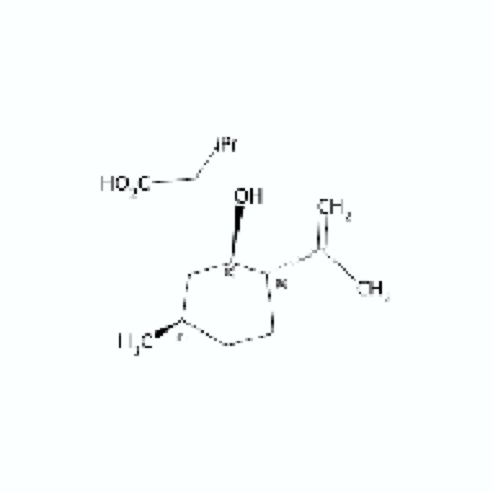 C=C(C)[C@@H]1CC[C@@H](C)C[C@H]1O.CC(C)CC(=O)O